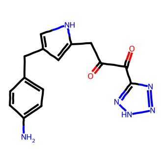 Nc1ccc(Cc2c[nH]c(CC(=O)C(=O)c3nn[nH]n3)c2)cc1